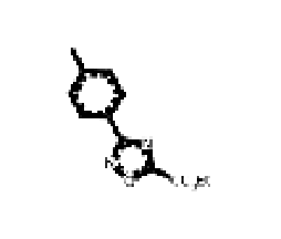 CCOC(=O)c1nc(-c2ccc(C)cc2)no1